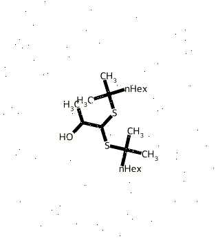 CCCCCCC(C)(C)SC(SC(C)(C)CCCCCC)C(C)O